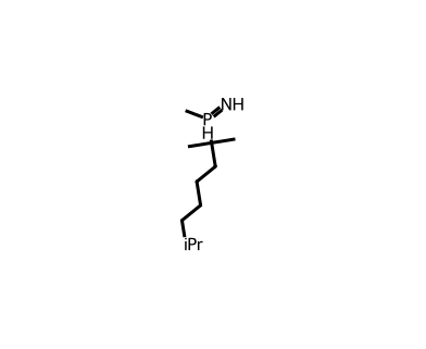 CC(C)CCCCC(C)(C)[PH](C)=N